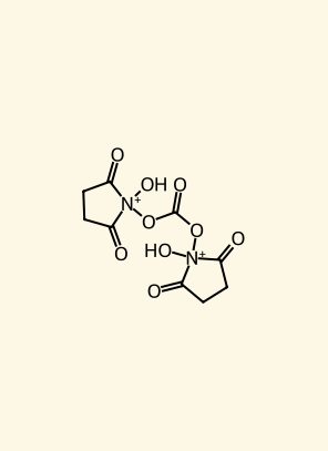 O=C(O[N+]1(O)C(=O)CCC1=O)O[N+]1(O)C(=O)CCC1=O